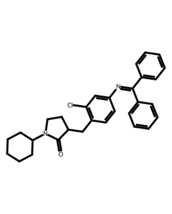 O=C1C(Cc2ccc(N=C(c3ccccc3)c3ccccc3)cc2Cl)CCN1C1CCCCC1